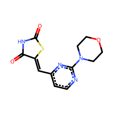 O=C1NC(=O)C(=Cc2ccnc(N3CCOCC3)n2)S1